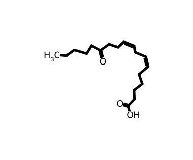 CCCCCC(=O)CC/C=C\C/C=C\CCCCC(=O)O